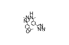 Cc1nc(N[C@@H](C)c2cccc(-c3cnc(N(C)C)nc3)c2)cc(-c2ccc3occ(C)c3c2)n1